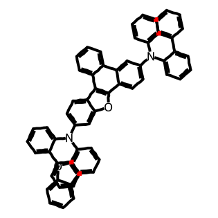 c1ccc(-c2ccccc2N(c2ccccc2)c2ccc3c(c2)c2ccccc2c2c4ccc(N(c5ccccc5-c5ccccc5)c5cccc6c5oc5ccccc56)cc4oc32)cc1